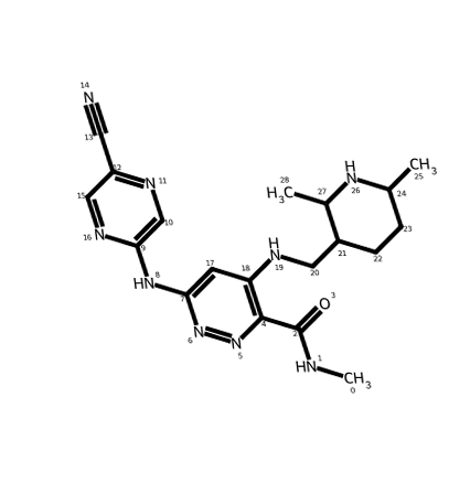 CNC(=O)c1nnc(Nc2cnc(C#N)cn2)cc1NCC1CCC(C)NC1C